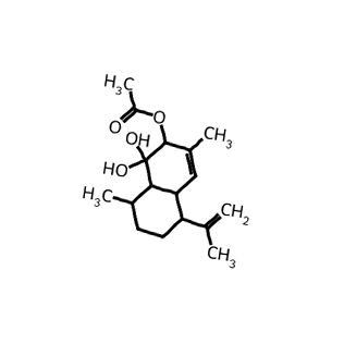 C=C(C)C1CCC(C)C2C1C=C(C)C(OC(C)=O)C2(O)O